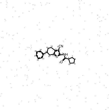 N#Cc1c(NC(=O)C2CCCC2)sc2c1CCC(c1ccccc1)C2